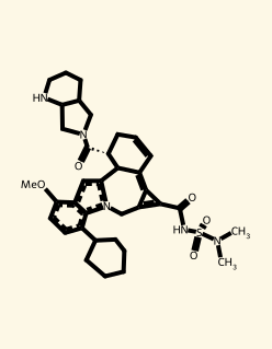 COc1ccc(C2CCCCC2)c2c1cc1n2CC2=C(C(=O)NS(=O)(=O)N(C)C)C2=C2C=CC[C@@H](C(=O)N3CC4CCCNC4C3)C21